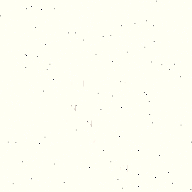 CCCCC1(C#CCCc2ccccc2)N(OC)C(=O)c2cc3cc(Cl)ccc3n21